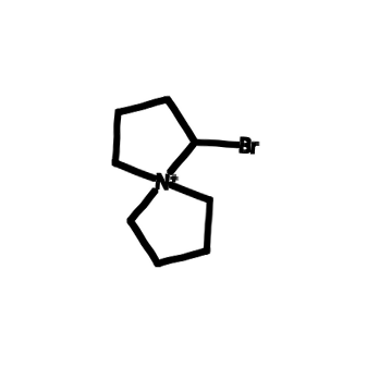 BrC1CCC[N+]12CCCC2